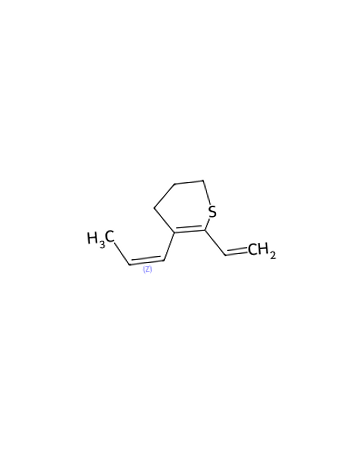 C=CC1=C(/C=C\C)CCCS1